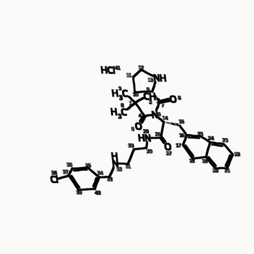 CC(C)(C)C(=O)N(C(=O)[C@@H]1CCCN1)[C@H](Cc1ccc2ccccc2c1)C(=O)NCCCNCc1ccc(Cl)cc1.Cl